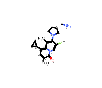 Cc1c(N2CC[C@H](CN)C2)c(F)cn2c(=O)c(C(=O)O)cc(C3CC3)c12